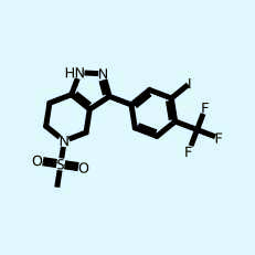 CS(=O)(=O)N1CCc2[nH]nc(-c3ccc(C(F)(F)F)c(I)c3)c2C1